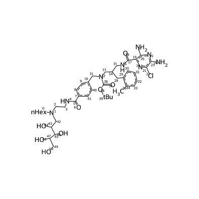 CCCCCCN(CCNC(=O)c1ccc(CN(CC(CNC(=O)c2nc(Cl)c(N)nc2N)Cc2ccccc2C)C(=O)OC(C)(C)C)cc1)CC(O)C(O)C(O)CO